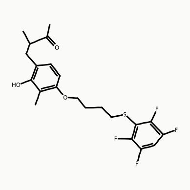 CC(=O)C(C)Cc1ccc(OCCCCSc2c(F)c(F)cc(F)c2F)c(C)c1O